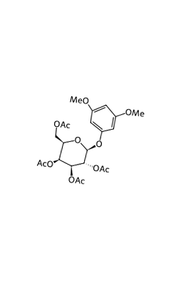 COc1cc(OC)cc(O[C@@H]2O[C@H](COC(C)=O)[C@H](OC(C)=O)[C@H](OC(C)=O)[C@H]2OC(C)=O)c1